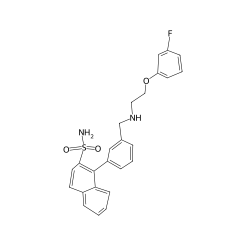 NS(=O)(=O)c1ccc2ccccc2c1-c1cccc(CNCCOc2cccc(F)c2)c1